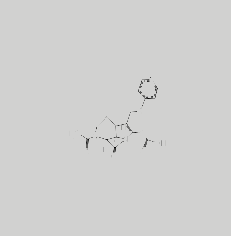 CC(=O)N1CCC2C(CSc3ccncc3)=C(OC(=O)O)N3C(=O)[C@@H]1[C@@H]23